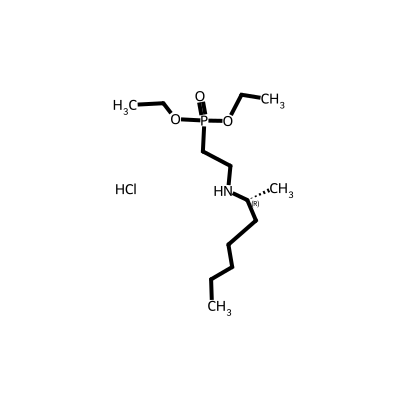 CCCCC[C@@H](C)NCCP(=O)(OCC)OCC.Cl